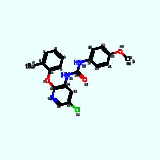 CC(C)(C)c1ccccc1Oc1ncc(Cl)cc1NC(=O)Nc1ccc(OC(F)(F)F)cc1